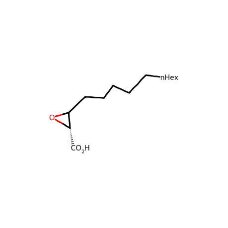 CCCCCCCCCCCC1O[C@H]1C(=O)O